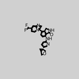 O=C1NCc2c(-c3cnc4cc(C(F)F)ccn34)ccc(Nc3ccc([C@]45COCC4C5)cn3)c21